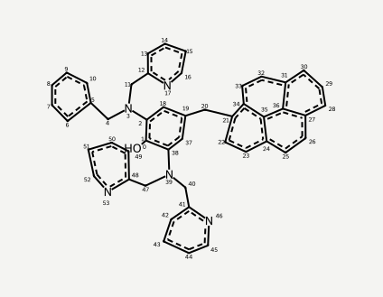 Oc1c(N(Cc2ccccc2)Cc2ccccn2)cc(Cc2ccc3ccc4cccc5ccc2c3c45)cc1N(Cc1ccccn1)Cc1ccccn1